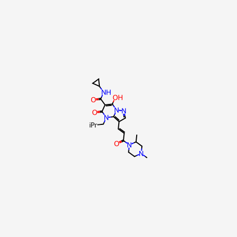 CC(C)Cn1c(=O)c(C(=O)NC2CC2)c(O)n2ncc(C=CC(=O)N3CCN(C)CC3C)c12